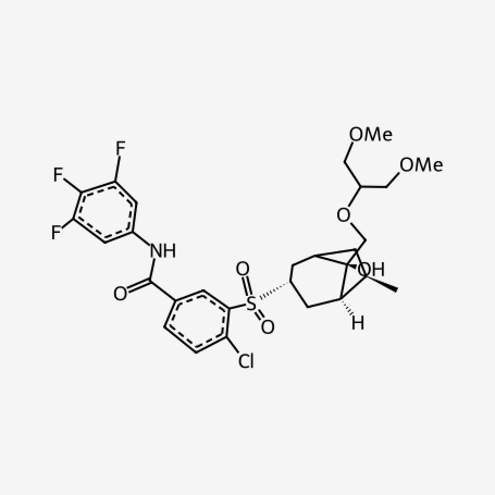 COCC(COC)OC[C@@]1(O)C2C[C@@H](S(=O)(=O)c3cc(C(=O)Nc4cc(F)c(F)c(F)c4)ccc3Cl)C[C@@H]1[C@H](C)C2